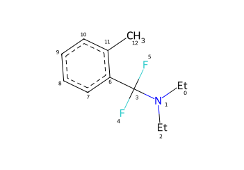 CCN(CC)C(F)(F)c1ccccc1C